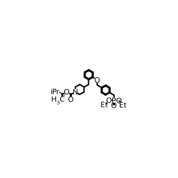 CCOP(=O)(Cc1ccc(COc2ccccc2CC2CCN(C(=O)O[C@@H](C)C(C)C)CC2)cc1)OCC